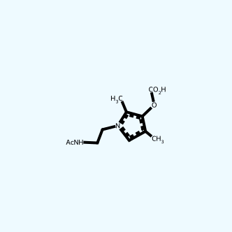 CC(=O)NCCn1cc(C)c(OC(=O)O)c1C